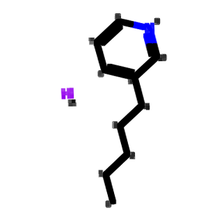 CCCCCc1cccnc1.I